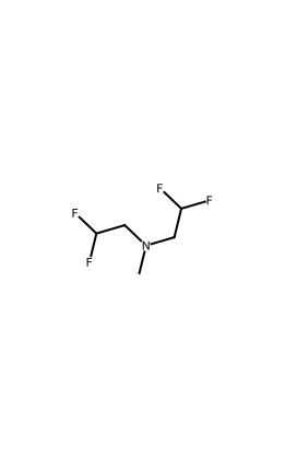 CN(CC(F)F)CC(F)F